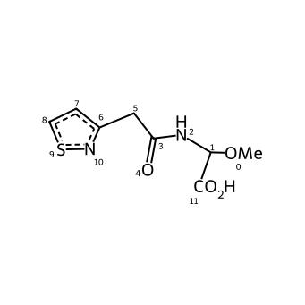 COC(NC(=O)Cc1ccsn1)C(=O)O